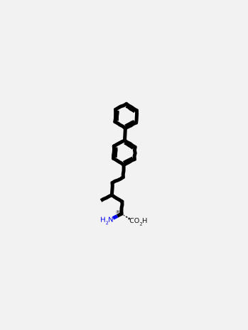 CC(CCc1ccc(-c2ccccc2)cc1)C[C@@H](N)C(=O)O